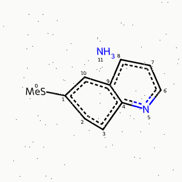 CSc1ccc2ncccc2c1.N